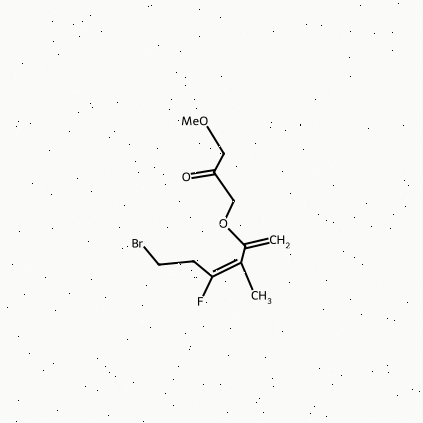 C=C(OCC(=O)COC)/C(C)=C(/F)CCBr